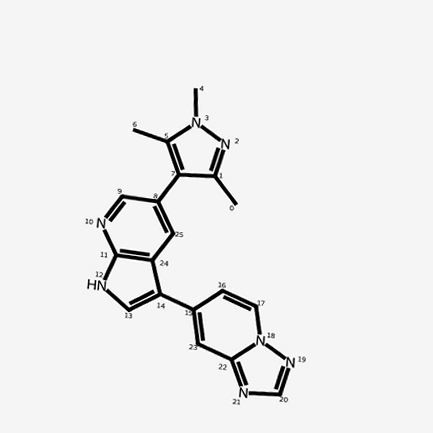 Cc1nn(C)c(C)c1-c1cnc2[nH]cc(-c3ccn4ncnc4c3)c2c1